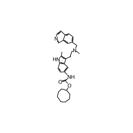 Cc1[nH]c2ccc(NC(=O)OC3CCCCCCC3)cc2c1CCN(C)Cc1ccc2ccncc2c1